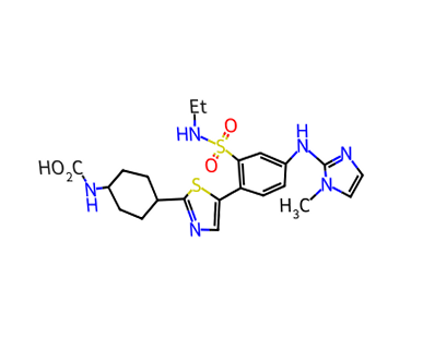 CCNS(=O)(=O)c1cc(Nc2nccn2C)ccc1-c1cnc(C2CCC(NC(=O)O)CC2)s1